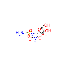 NCCS(=O)(=O)n1cc([C@@H]2O[C@H](CO)[C@@H](O)[C@H]2O)c(=O)[nH]c1=O